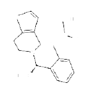 CCCOS(=O)(=O)O.O=C(O)[C@H](c1ccccc1Cl)N1CCc2sccc2C1